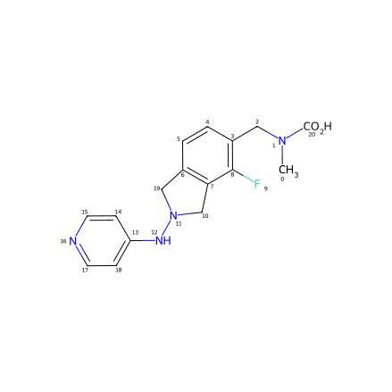 CN(Cc1ccc2c(c1F)CN(Nc1ccncc1)C2)C(=O)O